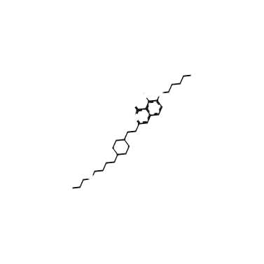 CCCCCOc1ccc2cc(CCC3CCC(CCCCOCCC)CC3)oc(=O)c2c1F